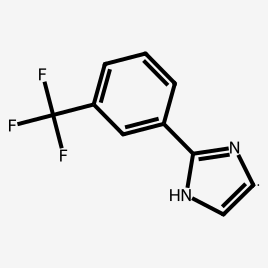 FC(F)(F)c1cccc(-c2n[c]c[nH]2)c1